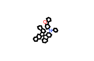 c1ccc(N(c2ccc3c(c2)C2(c4ccccc4-3)c3cc4ccccc4cc3-c3c2ccc2ccccc32)c2ccc3oc4ccccc4c3c2)cc1